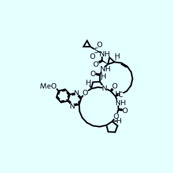 COc1ccc2nc3c(nc2c1)O[C@@H]1C[C@H]2C(=O)N[C@]4(C(=O)NS(=O)(=O)C5CC5)C[C@H]4/C=C\CCCCC[C@H](NC(=O)O[C@@H]4CCCC4CCCCC3)C(=O)N2C1